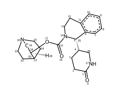 O=C1CCC([C@H]2c3ccccc3CCN2C(=O)O[C@@H]2CN3CCC2CC3)CN1